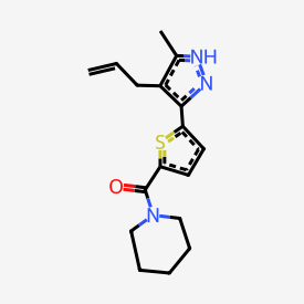 C=CCc1c(-c2ccc(C(=O)N3CCCCC3)s2)n[nH]c1C